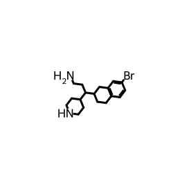 NCCC(C1CCNCC1)C1CCc2ccc(Br)cc2C1